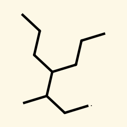 [CH2]CC(C)C(CCC)CCC